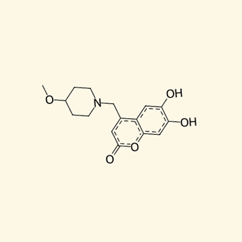 COC1CCN(Cc2cc(=O)oc3cc(O)c(O)cc23)CC1